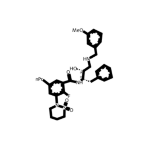 CCCc1cc(C(=O)N[C@@H](Cc2ccccc2)[C@H](O)CNCc2cccc(OC)c2)c(F)c(N2CCCCS2(=O)=O)c1